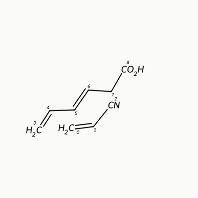 C=CC#N.C=CC=CCC(=O)O